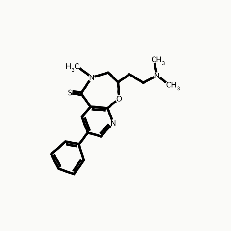 CN(C)CCC1CN(C)C(=S)c2cc(-c3ccccc3)cnc2O1